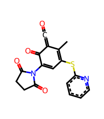 CC1=C(Sc2ccccn2)C=C(N2C(=O)CCC2=O)C(=O)C1=C=O